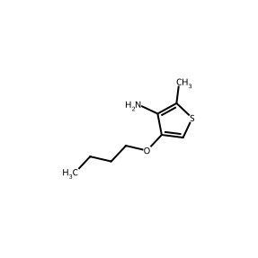 CCCCOc1csc(C)c1N